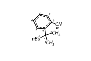 CCCCC(C)(C)c1ccccc1C#N